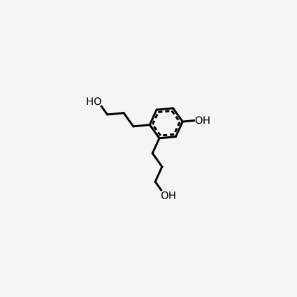 OCCCc1ccc(O)cc1CCCO